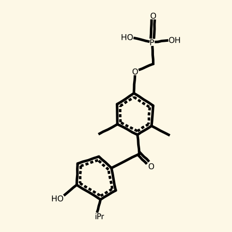 Cc1cc(OCP(=O)(O)O)cc(C)c1C(=O)c1ccc(O)c(C(C)C)c1